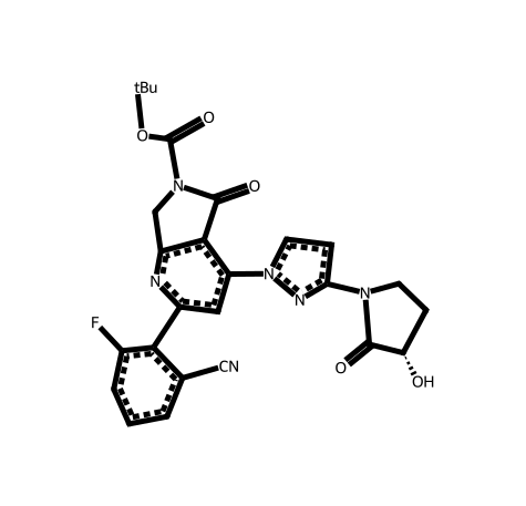 CC(C)(C)OC(=O)N1Cc2nc(-c3c(F)cccc3C#N)cc(-n3ccc(N4CC[C@H](O)C4=O)n3)c2C1=O